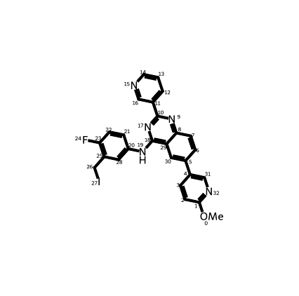 COc1ccc(-c2ccc3nc(-c4cccnc4)nc(Nc4ccc(F)c(CI)c4)c3c2)cn1